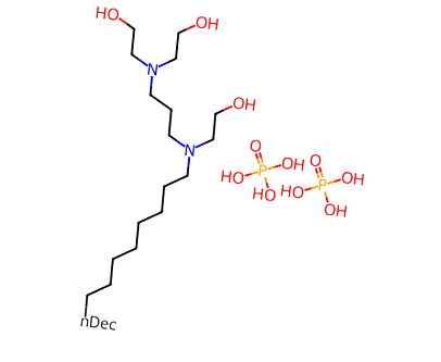 CCCCCCCCCCCCCCCCCCN(CCO)CCCN(CCO)CCO.O=P(O)(O)O.O=P(O)(O)O